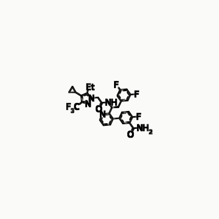 CCc1c(C2CC2)c(C(F)(F)F)nn1CC(=O)N[C@@H](Cc1cc(F)cc(F)c1)c1ncccc1-c1ccc(F)c(C(N)=O)c1